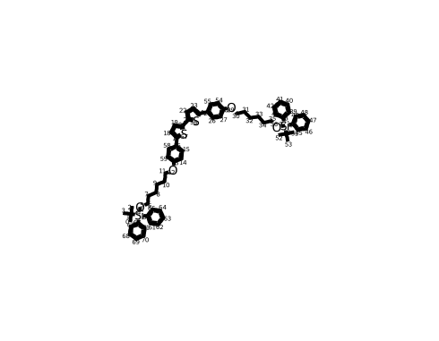 CC(C)(C)[Si](OCCCCCCOc1ccc(-c2ccc(-c3ccc(-c4ccc(OCCCCCCO[Si](c5ccccc5)(c5ccccc5)C(C)(C)C)cc4)s3)s2)cc1)(c1ccccc1)c1ccccc1